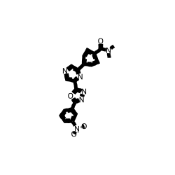 CN(C)C(=O)c1ccc(-c2cncc(-c3nnc(-c4cccc([N+](=O)[O-])c4)o3)n2)cc1